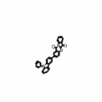 O=C1c2ccccc2-n2c1nc1ccc(-c3ccc4c(c3)c3ccccc3n4-c3ccccc3)cc1c2=O